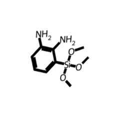 CO[Si](OC)(OC)c1cccc(N)c1N